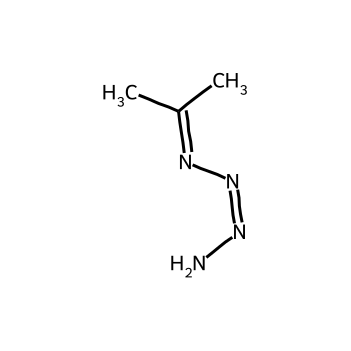 CC(C)=N/N=N\N